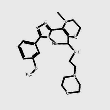 CN1CCOC2=C1c1nnc(-c3cccc(OC(F)(F)F)c3)n1NC2NCCN1CCOCC1